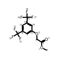 COC(=O)COc1cc(C(F)(F)F)cc(C(F)(F)F)c1